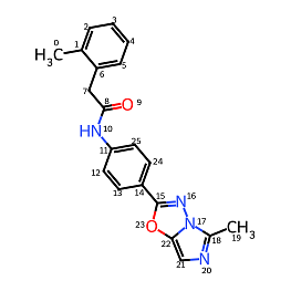 Cc1ccccc1CC(=O)Nc1ccc(-c2nn3c(C)ncc3o2)cc1